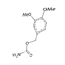 COc1ccc(COC(N)=O)cc1OC